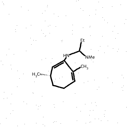 CCC(NC)NC1=C[C@@H](C)CCC=C1C